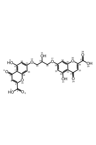 O=C(O)c1cc(=O)c2c(O)cc(OCC(O)COc3cc(O)c4c(=O)cc(C(=O)O)oc4c3)cc2o1